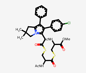 COC(=O)C(CSC(=O)C(CSC(=O)Cc1c(-c2ccc(Cl)cc2)c(-c2ccccc2)c2n1CC(C)(C)C2)NC(C)=O)NC(C)=O